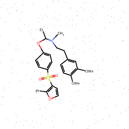 CCC(Oc1ccc(S(=O)(=O)c2ccoc2C(C)C)cc1)N(C)CCc1ccc(OC)c(OC)c1